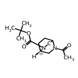 CC(=O)N1C[C@@H]2CCC1CN2C(=O)OC(C)(C)C